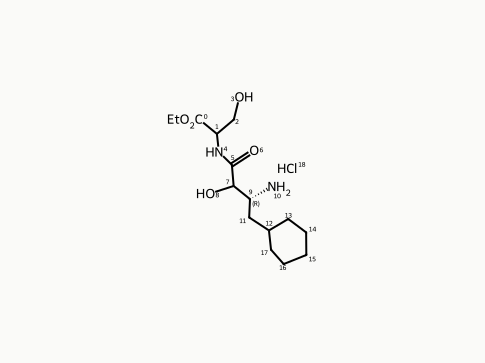 CCOC(=O)C(CO)NC(=O)C(O)[C@H](N)CC1CCCCC1.Cl